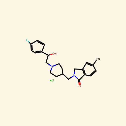 Cl.N#Cc1ccc2c(c1)CN(CC1CCN(CC(O)c3ccc(F)cc3)CC1)C2=O